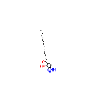 CCCCCCCCCCCCCCC(=O)c1ccc2[nH]nnc2c1O